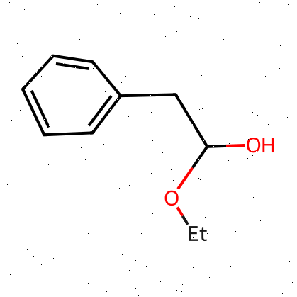 CCOC(O)Cc1ccccc1